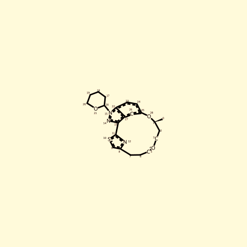 C[C@H]1CCOCCCc2csc(n2)-c2nn(C3CCCCO3)c3ccc(cc23)O1